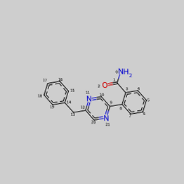 NC(=O)c1ccccc1-c1cnc(Cc2ccccc2)cn1